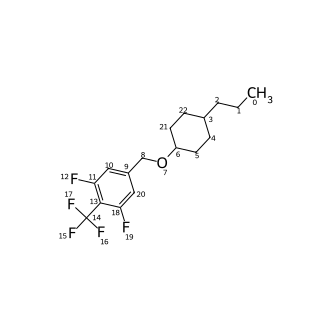 CCCC1CCC(OCc2cc(F)c(C(F)(F)F)c(F)c2)CC1